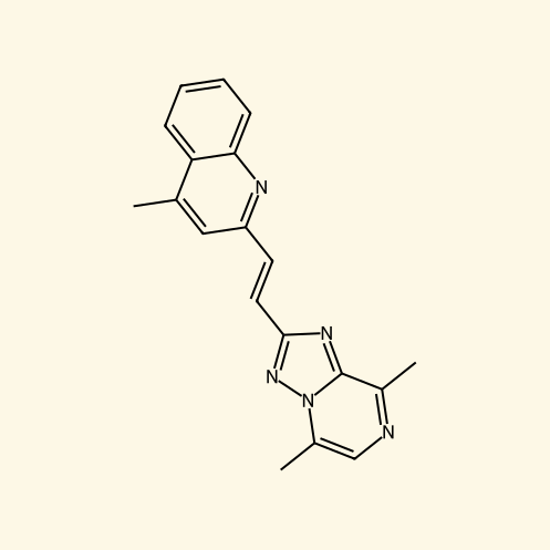 Cc1cc(C=Cc2nc3c(C)ncc(C)n3n2)nc2ccccc12